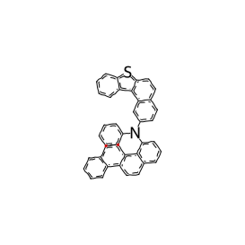 c1ccc(N(c2ccc3ccc4sc5ccccc5c4c3c2)c2cccc3ccc4c5ccccc5ccc4c23)cc1